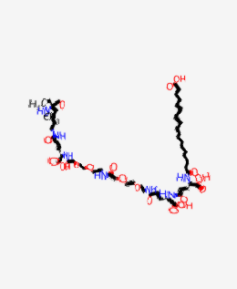 CC[C@@](C=O)(CCCCNC(=O)CC[C@H](NC(=O)COCCOCCNC(=O)COCCOCCNC(=O)CC[C@H](NC(=O)CC[C@H](NC(=O)CCCCCCCCCCCCCCCCC(=O)O)C(=O)O)C(=O)O)C(=O)O)NC